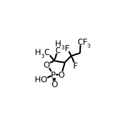 CC1(C)OP(=O)(O)OC1C(F)(F)CC(F)(F)F